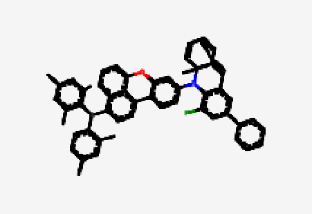 Cc1ccc(B(c2c(C)cc(C)cc2C)c2ccc3c4c(cccc24)Oc2cc(N4c5c(F)cc(-c6ccccc6)cc5C5=CC=CC(C)C56C=CC=CC46C)ccc2-3)c(C)c1